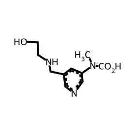 CN(C(=O)O)c1cncc(CNCCO)c1